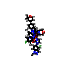 Cc1cc(-n2nc3c(c2-n2ccn(-c4ccc5c(cnn5C)c4F)c2=O)C2COCC(C3)N2C(=O)c2cc3cc([C@H]4CCOC(C)(C)C4)ccc3n2[C@@]2(c3noc(=O)[nH]3)C[C@@H]2C)cc(C)c1F